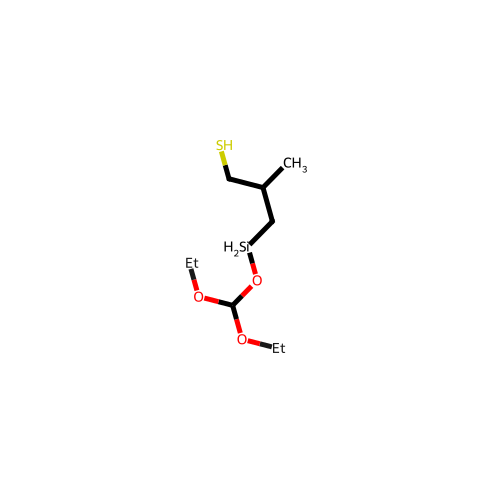 CCOC(OCC)O[SiH2]CC(C)CS